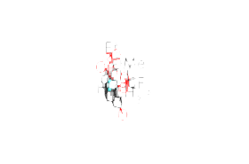 CCC(=O)OCC(=O)[C@@]1(OCOC)CC[C@H]2[C@@H]3CCC4=CC(=O)C=C[C@]4(C)[C@@]3(F)[C@@H](OC(=O)C(F)(F)F)C[C@@]21C